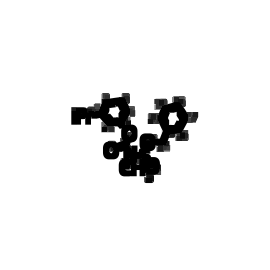 CC(C)c1cccc(OC(=O)N(C)S(=O)OCc2ccccc2)c1